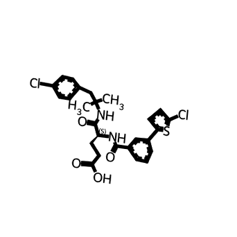 CC(C)(Cc1ccc(Cl)cc1)NC(=O)[C@H](CCC(=O)O)NC(=O)c1cccc(-c2ccc(Cl)s2)c1